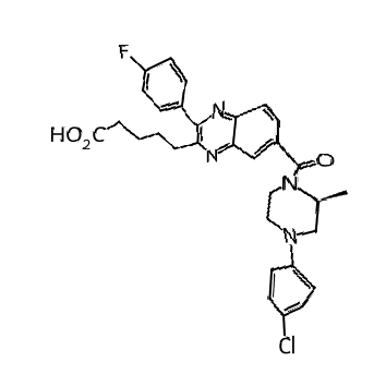 C[C@H]1CN(c2ccc(Cl)cc2)CCN1C(=O)c1ccc2nc(-c3ccc(F)cc3)c(CCCCC(=O)O)nc2c1